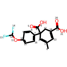 CC1=CC(C(=O)O)(c2ccc(OC(F)F)cc2)CC(C(=O)O)=C1